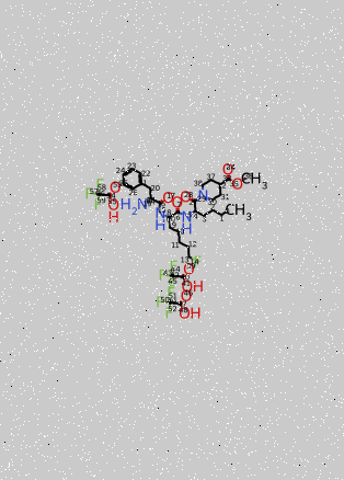 CCCCC(NC(=O)[C@@H](CCCCCF)NC(=O)[C@H](N)Cc1ccccc1)C(=O)N1CCC(C(=O)OC)CC1.O=C(O)C(F)(F)F.O=C(O)C(F)(F)F.O=C(O)C(F)(F)F